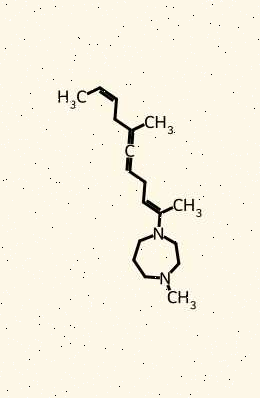 C/C=C\CC(C)=C=CCC=C(C)N1CCCN(C)CC1